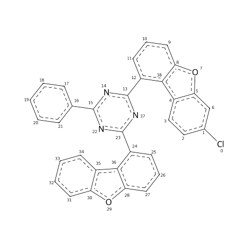 Clc1ccc2c(c1)oc1cccc(-c3nc(-c4ccccc4)nc(-c4cccc5oc6ccccc6c45)n3)c12